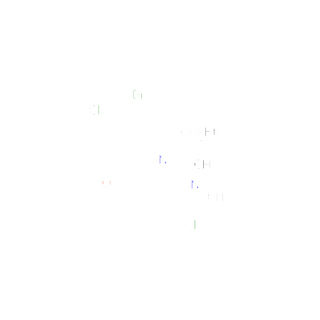 CCOC(=O)Cn1c2cc(Br)c(Cl)cc2c(=O)c2ccc(Cl)c(N(C)C)c21